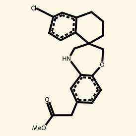 COC(=O)Cc1ccc2c(c1)NCC1(CCCc3cc(Cl)ccc31)CO2